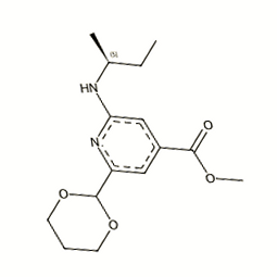 CC[C@H](C)Nc1cc(C(=O)OC)cc(C2OCCCO2)n1